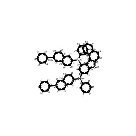 c1ccc(-c2ccc3cc(N(c4ccccc4)c4cc(N(c5ccccc5)c5ccc6cc(-c7ccccc7)ccc6c5)c5c(c4)sc4ccc6ccccc6c45)ccc3c2)cc1